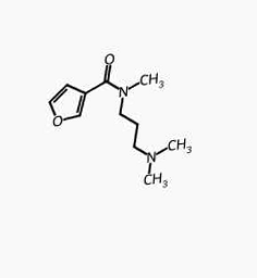 CN(C)CCCN(C)C(=O)c1ccoc1